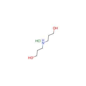 Cl.OCCCNCCCO